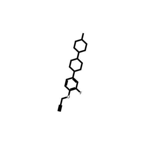 C#CCOc1ccc(C2CCC(C3CCC(C)CC3)CC2)cc1F